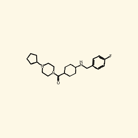 O=C(C1CCC(NCc2ccc(F)cc2)CC1)N1CCN(C2CCCC2)CC1